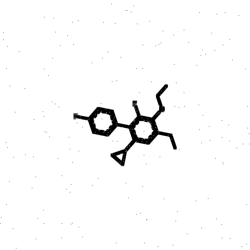 CCOc1c(CC)cc(C2CC2)c(-c2ccc(F)cc2)c1F